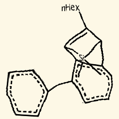 CCCCCCC1=C2c3c(-c4ccccc4)[c]ccc3C1[Si]2(C)C